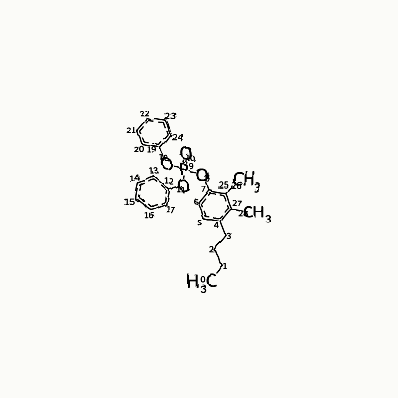 CCCCc1ccc(OP(=O)(Oc2ccccc2)Oc2ccccc2)c(C)c1C